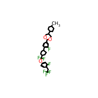 CC1CCC(C2COC(c3ccc(C4CCC(C(F)(F)Oc5ccc(CC(F)(F)F)c(F)c5)CC4)c(F)c3)OC2)CC1